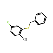 N#Cc1ccc(F)cc1SCc1ccccc1